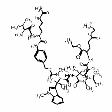 CCOC(=O)CC[C@@H](NC(=O)/C(C)=C/[C@H](C(C)C)N(C)C(=O)[C@@H](NC(=O)[C@@H](N(C)C(=O)OCc1ccc(NC(=O)[C@H](CCCNC(N)=O)NC(=O)[C@@H](N)C(C)C)cc1)C(C)(C)c1cn(C)c2ccccc12)C(C)(C)C)C(=O)OCC